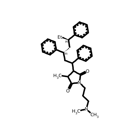 CC[C@H](C[C@H](CC(c1ccccc1)C1C(=O)N(CCCN(C)C)C(=O)C1C)c1ccccc1)c1ccccc1